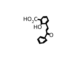 O=C(C=Cc1cccc(C(=O)O)c1O)c1ccccc1